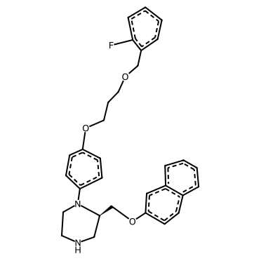 Fc1ccccc1COCCCOc1ccc(N2CCNC[C@@H]2COc2ccc3ccccc3c2)cc1